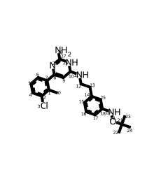 Cc1c(Cl)cccc1C1=CC(NCCc2cccc(NOC(C)(C)C)c2)NC(N)=N1